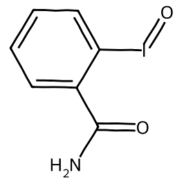 NC(=O)c1ccccc1I=O